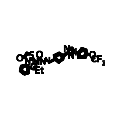 CCOc1ccccc1N1C(=O)CS/C1=N\C(=O)N/N=C/c1ccc(-c2ncn(-c3ccc(OC(F)(F)F)cc3)n2)cc1